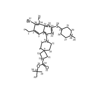 CCc1cc2c(N3CCC4(CC3)CN(C(=O)OC(C)(C)C)C4)nc(SC3CCN(C)CC3)nc2c(F)c1Br